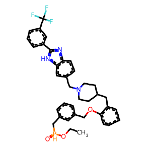 CCO[PH](=O)Cc1cccc(COc2ccccc2CC2CCN(Cc3ccc4nc(-c5cccc(C(F)(F)F)c5)[nH]c4c3)CC2)c1